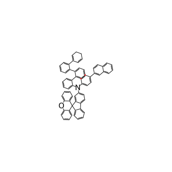 C1=CC(c2ccccc2-c2ccccc2-c2ccccc2N(c2ccc(-c3ccc4ccccc4c3)cc2)c2ccc3c(c2)C2(c4ccccc4Oc4ccccc42)c2ccccc2-3)=CCC1